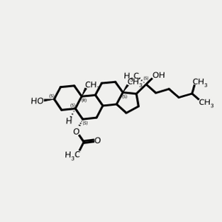 CC(=O)O[C@H]1CC2C3CCC([C@@](C)(O)CCCC(C)C)[C@@]3(C)CCC2[C@@]2(C)CC[C@H](O)C[C@H]12